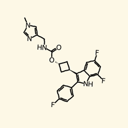 Cn1cnc(CNC(=O)O[C@H]2C[C@H](c3c(-c4ccc(F)cc4)[nH]c4c(F)cc(F)cc43)C2)c1